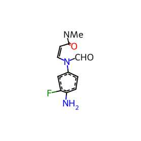 CNC(=O)/C=C\N(C=O)c1ccc(N)c(F)c1